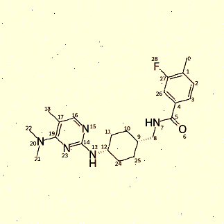 Cc1ccc(C(=O)NC[C@H]2CC[C@@H](Nc3ncc(C)c(N(C)C)n3)CC2)cc1F